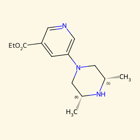 CCOC(=O)c1cncc(N2C[C@@H](C)N[C@@H](C)C2)c1